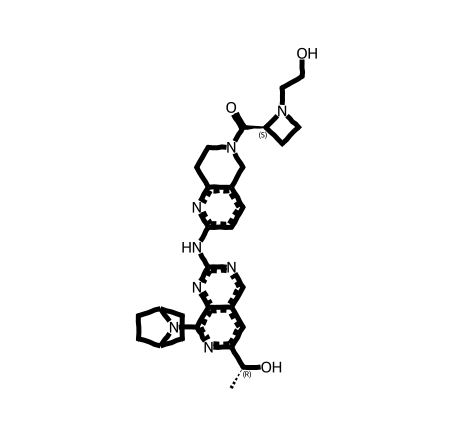 C[C@@H](O)c1cc2cnc(Nc3ccc4c(n3)CCN(C(=O)[C@@H]3CCN3CCO)C4)nc2c(N2C3CCC2CC3)n1